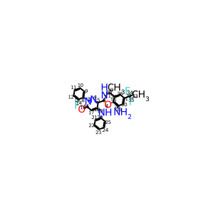 C[C@@H](NC(=O)c1nn(-c2ccccc2F)c(=O)cc1Nc1ccccc1)c1cc(N)cc(C(C)(F)F)c1